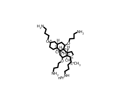 CCCNCCC[C@@H](C)[C@H]1CC[C@H]2[C@@H]3[C@H](OCCCN)C[C@@H]4C[C@H](OCCCN)CC[C@]4(C)[C@H]3C[C@H](OCCCN)[C@]12C